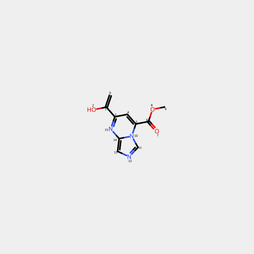 C=C(O)c1cc(C(=O)OC)n2cncc2n1